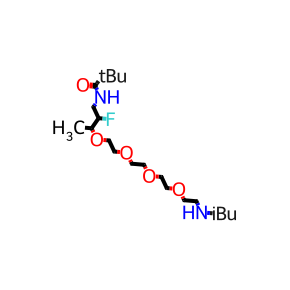 CCC(C)NCCOCCOCCOCCOC(C)C(F)CNC(=O)C(C)(C)C